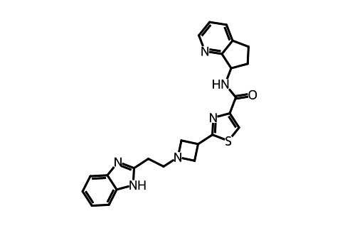 O=C(NC1CCc2cccnc21)c1csc(C2CN(CCc3nc4ccccc4[nH]3)C2)n1